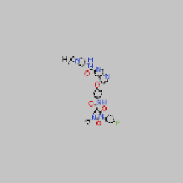 CN1CCC(NC(=O)c2cc3c(Oc4ccc(NC(=O)c5cn(C6CC6)c(=O)n(-c6ccc(F)cc6)c5=O)cc4)ccnc3cn2)CC1